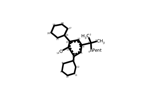 CCCCCC(C)(C)c1cc(C2CCCCC2)c([O])c(C2CCCCC2)c1